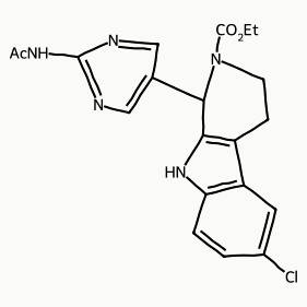 CCOC(=O)N1CCc2c([nH]c3ccc(Cl)cc23)C1c1cnc(NC(C)=O)nc1